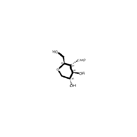 O=C[C@@H]1[C@@H](O)[C@H](O)CO[C@H]1CO